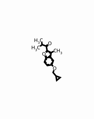 Cc1c(C(=O)C(C)C)oc2ccc(OCC3CC3)cc12